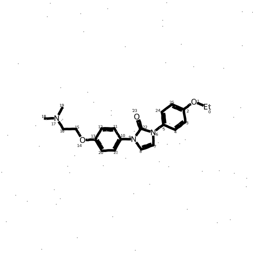 CCOc1ccc(-n2ccn(-c3ccc(OCCN(C)C)cc3)c2=O)cc1